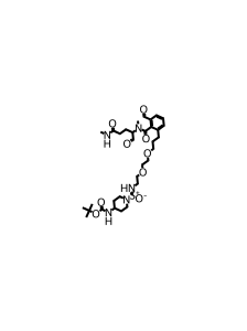 CNC(=O)CCC(C=O)N(C)C(=O)c1c(C=O)cccc1CCCOCCOCCN[S+]([O-])N1CCC(NC(=O)OC(C)(C)C)CC1